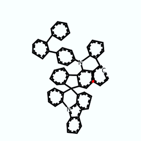 c1ccc(-c2ccccc2-c2ccc(N(c3ccccc3-c3ccccc3)c3cccc4c3-c3ccccc3C43c4ccccc4-n4c5ccccc5c5cccc3c54)cc2)cc1